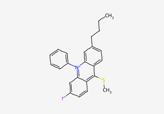 CCCCc1ccc2c(SC)c3ccc(I)cc3[n+](-c3ccccc3)c2c1